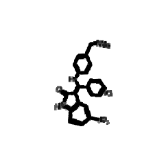 CNCc1ccc(N/C(=C2\C(=O)Nc3ccc([N+](=O)[O-])cc32)c2ccccc2)cc1.Cl